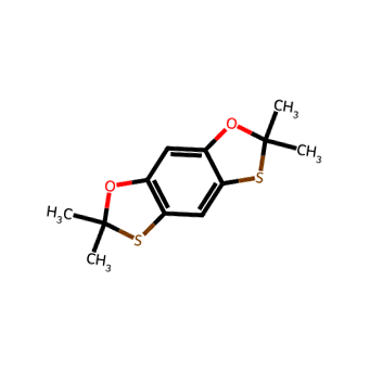 CC1(C)Oc2cc3c(cc2S1)SC(C)(C)O3